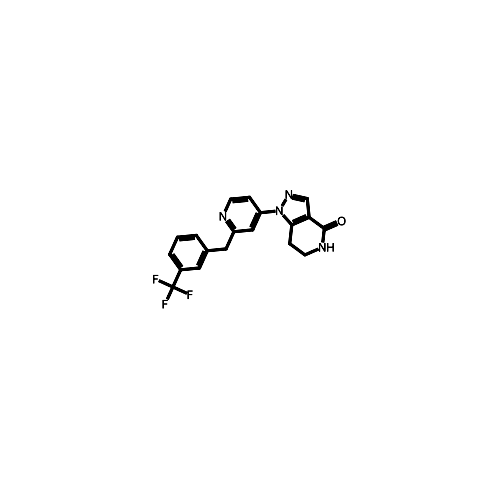 O=C1NCCc2c1cnn2-c1ccnc(Cc2cccc(C(F)(F)F)c2)c1